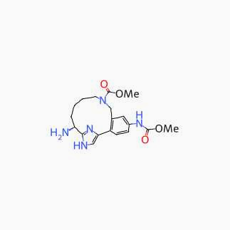 COC(=O)Nc1ccc2c(c1)CN(C(=O)OC)CCCC[C@H](N)c1nc-2c[nH]1